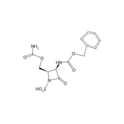 NC(=O)OC[C@H]1[C@@H](NC(=O)OCc2ccccc2)C(=O)N1S(=O)(=O)O